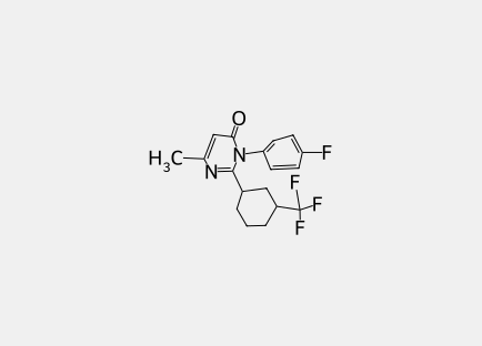 Cc1cc(=O)n(-c2ccc(F)cc2)c(C2CCCC(C(F)(F)F)C2)n1